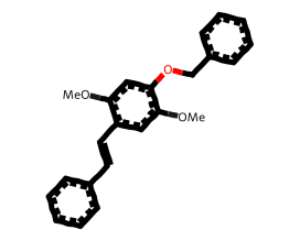 COc1cc(OCc2ccccc2)c(OC)cc1C=Cc1ccccc1